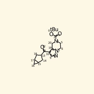 CC(C)(C)OC(=O)N1CCn2ncc(C(=O)C3CC4CC4C3)c2C1